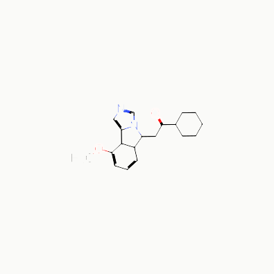 COC1=CC=CC2C1c1cncn1C2CC(=O)C1CCCCC1